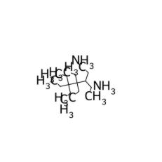 CCC(CC)C(CC)(CC)C(CC)(CC)CC.N.N